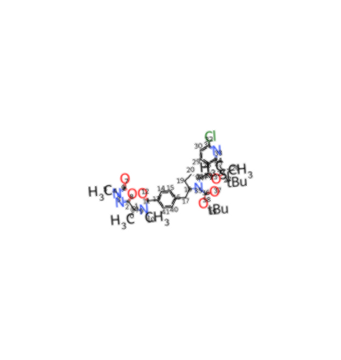 C[C@H](c1nn(C)c(=O)o1)N(C)C(=O)c1ccc(CC2CC[C@H]([C@H](O[Si](C)(C)C(C)(C)C)c3ccc(Cl)nc3)N2C(=O)OC(C)(C)C)cc1